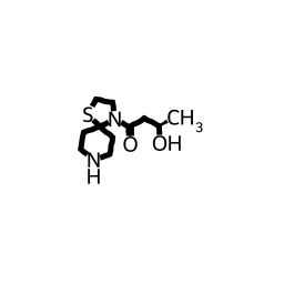 C[C@@H](O)CC(=O)N1CCSC12CCNCC2